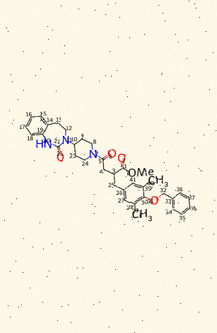 COC(=O)C(CC(=O)N1CCC(N2CCc3ccccc3NC2=O)CC1)Cc1cc(C)c(OCc2ccccc2)c(C)c1